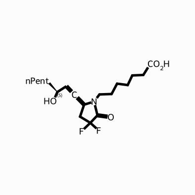 CCCCC[C@H](O)C=C=C1CC(F)(F)C(=O)N1CCCCCCC(=O)O